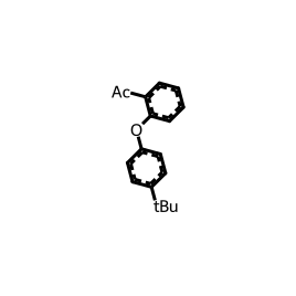 CC(=O)c1ccccc1Oc1ccc(C(C)(C)C)cc1